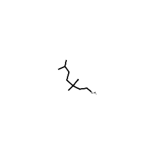 CC(C)CCC(C)(C)CCN